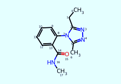 CCc1nnc(C)n1-c1ccccc1C(=O)NC